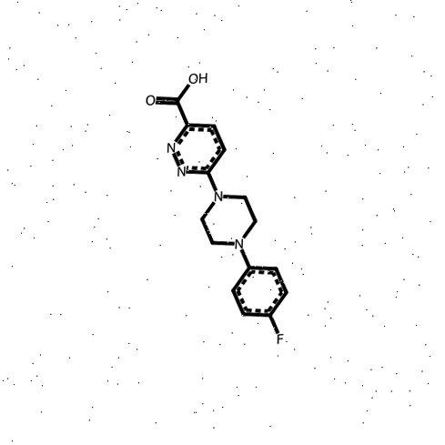 O=C(O)c1ccc(N2CCN(c3ccc(F)cc3)CC2)nn1